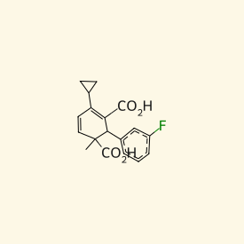 CC1(C(=O)O)C=CC(C2CC2)=C(C(=O)O)C1c1cccc(F)c1